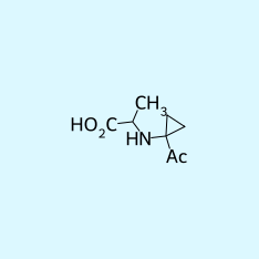 CC(=O)C1(NC(C)C(=O)O)CC1